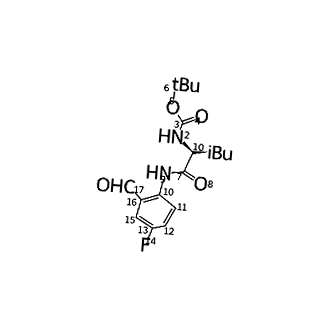 CC[C@H](C)[C@H](NC(=O)OC(C)(C)C)C(=O)Nc1ccc(F)cc1C=O